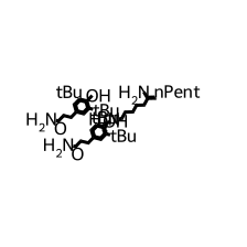 CC(C)(C)c1cc(CCC(N)=O)cc(C(C)(C)C)c1O.CC(C)(C)c1cc(CCC(N)=O)cc(C(C)(C)C)c1O.CCCCCC=C(N)CCCCCN